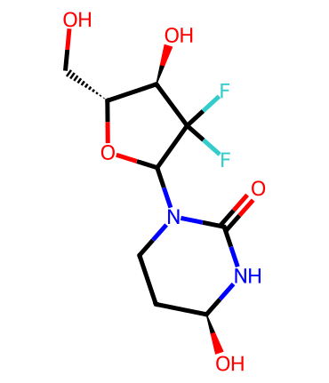 O=C1N[C@@H](O)CCN1C1O[C@H](CO)[C@@H](O)C1(F)F